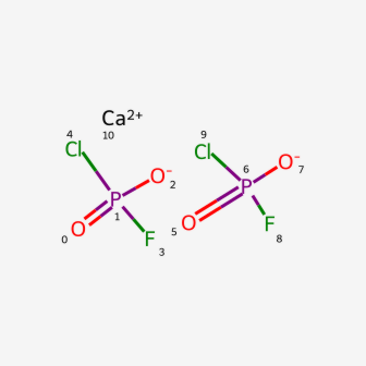 O=P([O-])(F)Cl.O=P([O-])(F)Cl.[Ca+2]